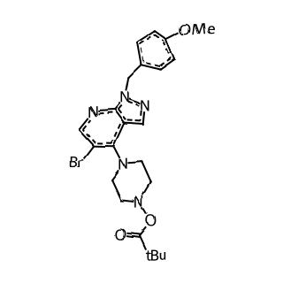 COc1ccc(Cn2ncc3c(N4CCN(OC(=O)C(C)(C)C)CC4)c(Br)cnc32)cc1